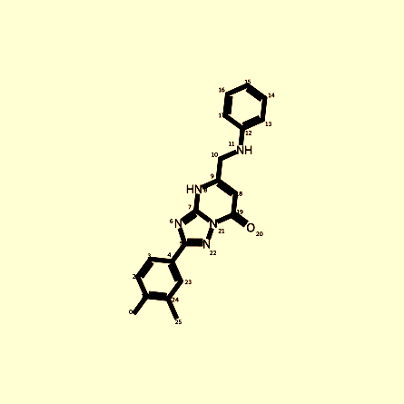 Cc1ccc(-c2nc3[nH]c(CNc4ccccc4)cc(=O)n3n2)cc1C